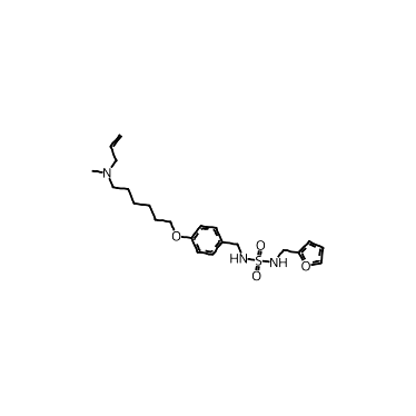 C=CCN(C)CCCCCCOc1ccc(CNS(=O)(=O)NCc2ccco2)cc1